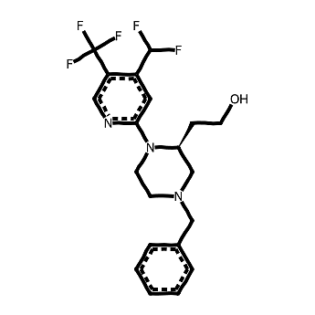 OCC[C@H]1CN(Cc2ccccc2)CCN1c1cc(C(F)F)c(C(F)(F)F)cn1